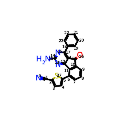 N#Cc1ccc(-c2cccc3c2-c2nc(N)nc(-c4ccccc4)c2C3=O)s1